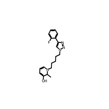 CC1C(O)=CC=CN1CCCCCn1cc(-c2ccccc2F)nn1